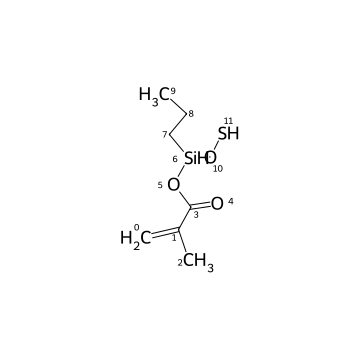 C=C(C)C(=O)O[SiH](CCC)OS